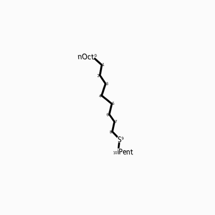 CCCCCCCCCCCCCCCCSC(C)CCC